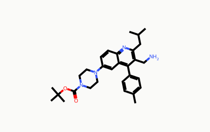 Cc1ccc(-c2c(CN)c(CC(C)C)nc3ccc(N4CCN(C(=O)OC(C)(C)C)CC4)cc23)cc1